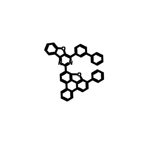 c1ccc(-c2cccc(-c3nc(-c4ccc5c6ccccc6c6ccc(-c7ccccc7)c7oc4c5c76)nc4c3oc3ccccc34)c2)cc1